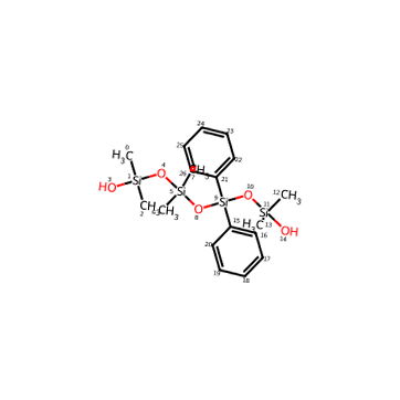 C[Si](C)(O)O[Si](C)(C)O[Si](O[Si](C)(C)O)(c1ccccc1)c1ccccc1